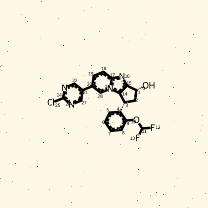 O[C@@H]1C[C@H](c2ccccc2OC(F)F)c2c1nc1ccc(-c3cnc(Cl)nc3)cn21